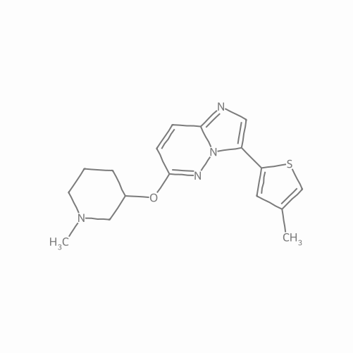 Cc1csc(-c2cnc3ccc(OC4CCCN(C)C4)nn23)c1